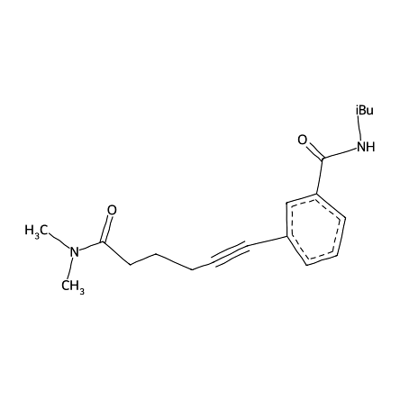 CCC(C)NC(=O)c1cccc(C#CCCCC(=O)N(C)C)c1